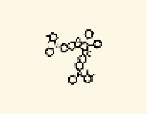 Cc1cccc(N(c2ccccc2)c2ccc3cc4c(cc3c2)oc2c(-c3ccccc3)c(-c3ccccc3)c3oc5cc6cc(N(c7ccccc7)c7cccc(C)c7C)ccc6cc5c3c24)c1C